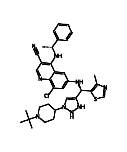 Cc1ncsc1[C@H](Nc1cc(Cl)c2ncc(C#N)c(N[C@H](C)c3ccccc3)c2c1)C1=CN(C2CCN(C(C)(C)C)CC2)NN1